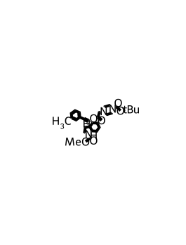 COC(=O)N1CC[C@@H]2[C@H]1CCC[C@]2(C#Cc1cccc(C)c1)OC(=O)CN1CCN(C(=O)OC(C)(C)C)CC1